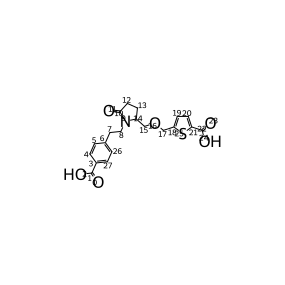 O=C(O)c1ccc(CCN2C(=O)CCC2COCc2ccc(C(=O)O)s2)cc1